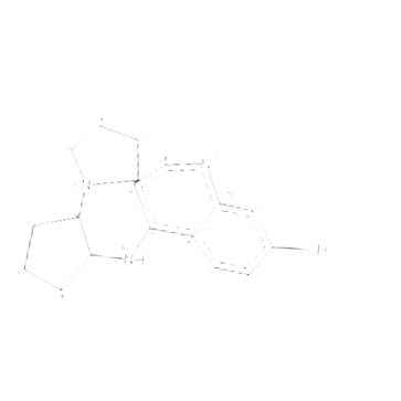 Clc1ccc2c(NC3CCCC3N3CCCC3)ccnc2c1